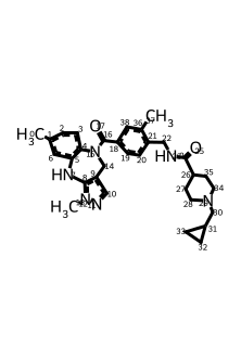 Cc1ccc2c(c1)Nc1c(cnn1C)CN2C(=O)c1ccc(CNC(=O)C2CCN(CC3CC3)CC2)c(C)c1